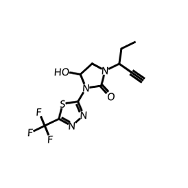 C#CC(CC)N1CC(O)N(c2nnc(C(F)(F)F)s2)C1=O